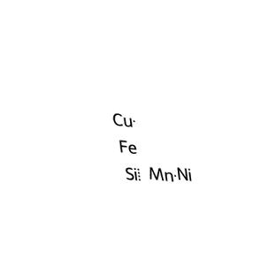 [Cu].[Fe].[Mn].[Ni].[Si]